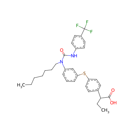 CCCCCCCN(C(=O)Nc1ccc(C(F)(F)F)cc1)c1cccc(Sc2ccc(C(CC)C(=O)O)cc2)c1